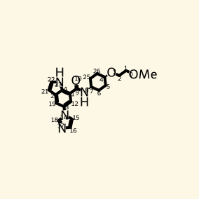 COCCO[C@H]1CC[C@H](NC(=O)c2cc(-n3ccnc3)cc3cc[nH]c23)CC1